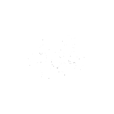 O=P12c3ccc(N(c4ccccc4)c4ccccc4)cc3N(c3ccccc3)c3cccc(c31)N(c1ccccc1)c1cc3ccccc3cc12